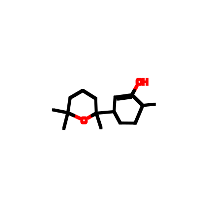 CC1CCC(C2(C)CCCC(C)(C)O2)C=C1O